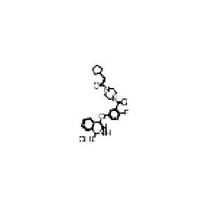 O=CC1NN=C(Oc2ccc(F)c(C(=O)N3CCN(C(=O)CC4CCCC4)CC3)c2)c2ccccc21